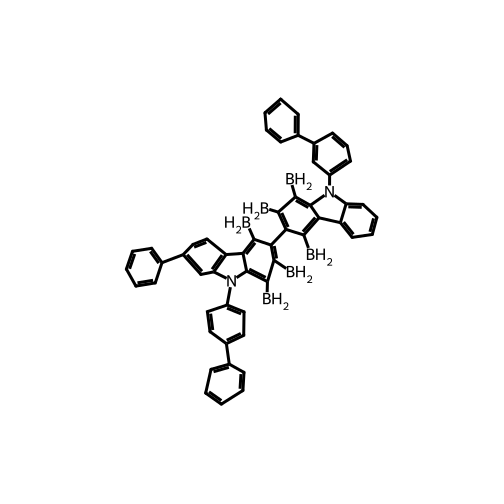 Bc1c(-c2c(B)c(B)c3c(c2B)c2ccc(-c4ccccc4)cc2n3-c2ccc(-c3ccccc3)cc2)c(B)c2c3ccccc3n(-c3cccc(-c4ccccc4)c3)c2c1B